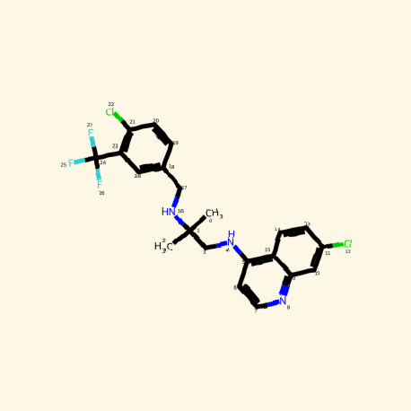 CC(C)(CNc1ccnc2cc(Cl)ccc12)NCc1ccc(Cl)c(C(F)(F)F)c1